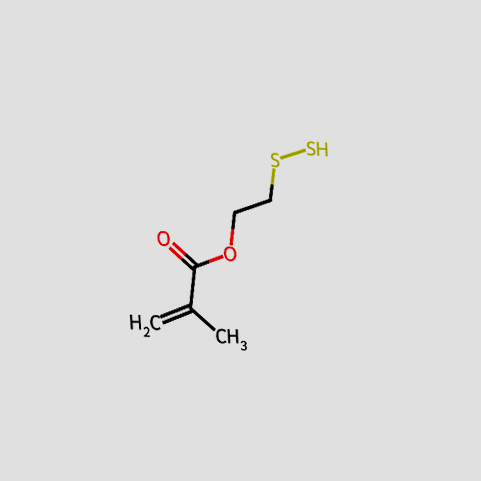 C=C(C)C(=O)OCCSS